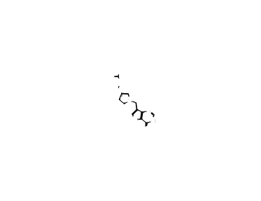 CC(C)SC[C@@H]1CCN(Cc2c[nH]c3c(=O)[nH]cnc23)C1